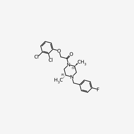 C[C@@H]1CN(C(=O)COc2cccc(Cl)c2Cl)[C@@H](C)CN1Cc1ccc(F)cc1